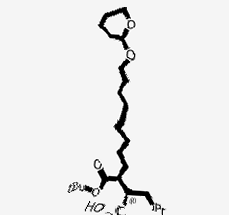 CC(C)C[C@@H](C(=O)O)C(CCCCCCCCOC1CCCCO1)C(=O)OC(C)(C)C